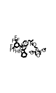 COC[C@@H]1COC[C@@H](COC)N1CCON=C(C)CN1CCN(C(=O)c2cc(C(F)(F)F)cc(C(F)(F)F)c2)[C@H](Cc2c[nH]c3ccccc23)C1